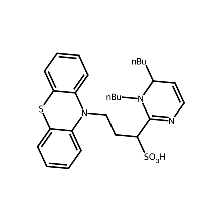 CCCCC1C=CN=C(C(CCN2c3ccccc3Sc3ccccc32)S(=O)(=O)O)N1CCCC